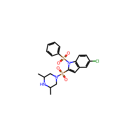 CC1CN(S(=O)(=O)c2cc3cc(Cl)ccc3n2S(=O)(=O)c2ccccc2)CC(C)N1